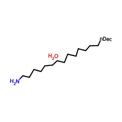 CCCCCCCCCCCCCCCCCCCCCCCCN.O